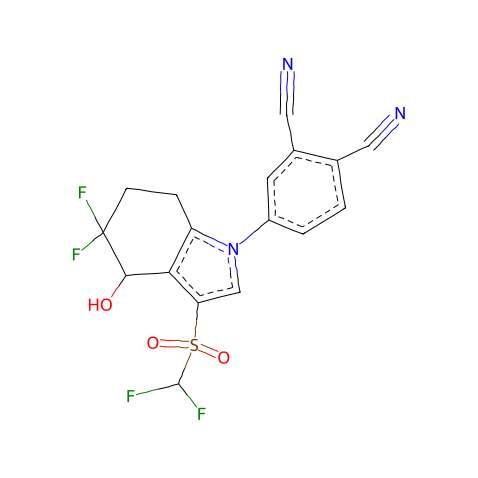 N#Cc1ccc(-n2cc(S(=O)(=O)C(F)F)c3c2CCC(F)(F)C3O)cc1C#N